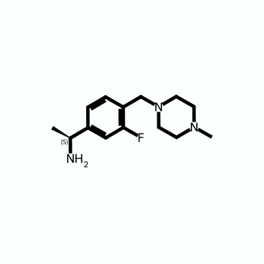 C[C@H](N)c1ccc(CN2CCN(C)CC2)c(F)c1